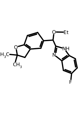 CCOC(c1ccc2c(c1)CC(C)(C)O2)c1nc2cc(F)ccc2[nH]1